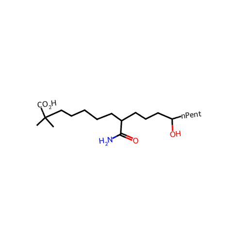 CCCCCC(O)CCCC(CCCCCC(C)(C)C(=O)O)C(N)=O